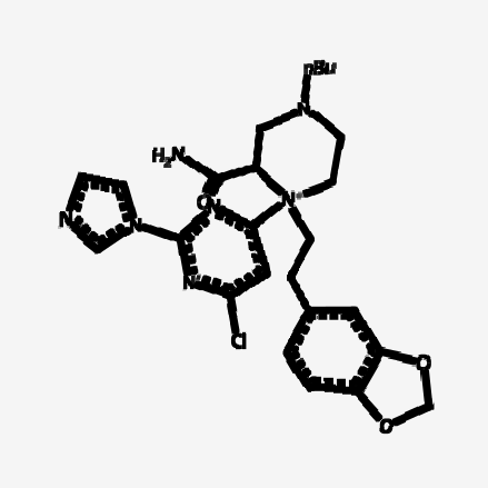 CCCCN1CC[N+](CCc2ccc3c(c2)OCO3)(c2cc(Cl)nc(-n3ccnc3)n2)C(C(N)=O)C1